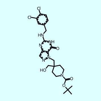 CC(C)(C)OC(=O)N1CCC(CO)(Cn2ncc3nc(NCc4ccc(Cl)c(Cl)c4)[nH]c(=O)c32)CC1